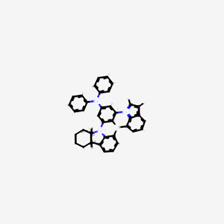 Cc1c(C)n2c3c(cccc13)B1c3cccc4c3N(c3cc(N(c5ccccc5)c5ccccc5)cc-2c31)C1(C)CCCCC41C